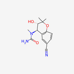 CN(C(N)=O)[C@@H]1c2cc(C#N)ccc2OC(C)(C)[C@H]1O